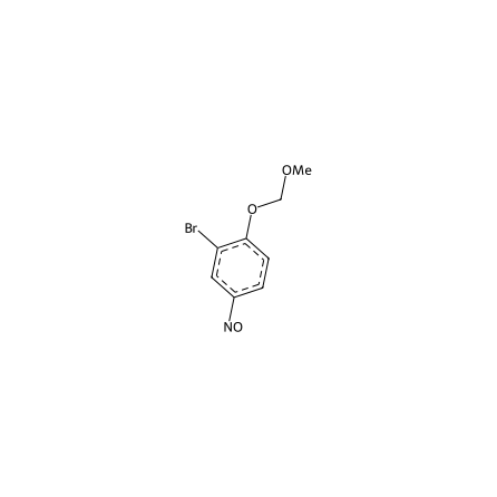 COCOc1ccc(N=O)cc1Br